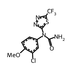 COc1ccc(N(C(N)=O)c2nnc(C(F)(F)F)s2)cc1Cl